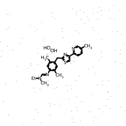 CCN(C)C=Nc1cc(C)c(Cc2nc(-c3ccc(C)cn3)cs2)cc1C.Cl.Cl